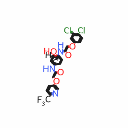 O=C(COc1ccc(C(F)(F)F)nc1)NC12CCC(NC(=O)COc3ccc(Cl)c(Cl)c3)(CC1)[C@@H](O)C2